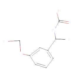 CC(NC(=O)O)c1cccc(OCBr)c1